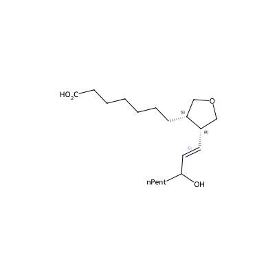 CCCCCC(O)/C=C/[C@H]1COC[C@H]1CCCCCCC(=O)O